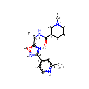 CC(=O)N1CCCC(C(=O)N[C@@H](C)c2nc(-c3ccnc(C(F)(F)F)c3)no2)C1